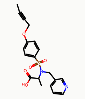 CC#CCOc1ccc(S(=O)(=O)N(Cc2cccnc2)C(C)C(=O)O)cc1